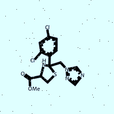 COC(=O)C1CSC(Cn2cncn2)(c2ccc(Cl)cc2Cl)N1